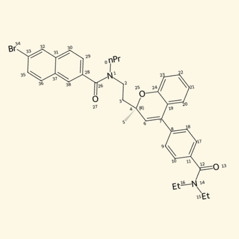 CCCN(CC[C@]1(C)C=C(c2ccc(C(=O)N(CC)CC)cc2)c2ccccc2O1)C(=O)c1ccc2cc(Br)ccc2c1